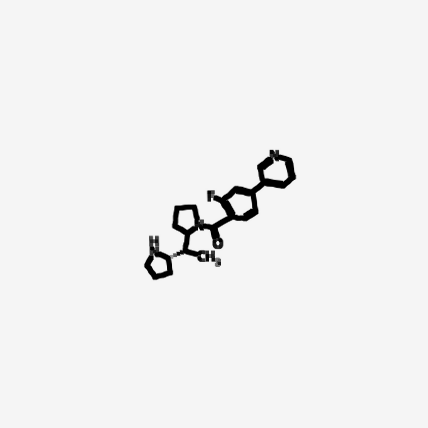 CC(C1CCCN1C(=O)c1ccc(-c2cccnc2)cc1F)[C@@H]1CCCN1